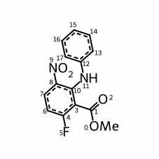 COC(=O)c1c(F)ccc([N+](=O)[O-])c1Nc1ccccc1